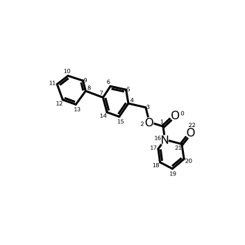 O=C(OCc1ccc(-c2ccccc2)cc1)n1ccccc1=O